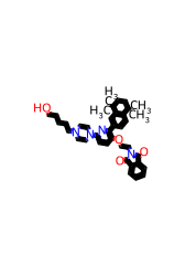 CC1(C)CCC(C)(C)c2cc(-c3nc(N4CCN(CCCCCO)CC4)ccc3OCCN3C(=O)c4ccccc4C3=O)ccc21